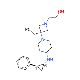 N#CCC1(N2CCC(N[C@@H]3C[C@H]3c3ccccc3)CC2)CN(CCO)C1